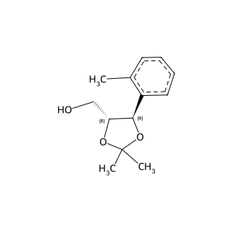 Cc1ccccc1[C@H]1OC(C)(C)O[C@@H]1CO